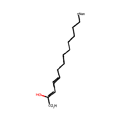 CCCCCCCCCCCCCCCCCC=CC=C(O)C(=O)O